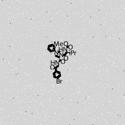 COC(=O)N[C@H](C(=O)N1CN(c2ccccc2)C[C@H]1C(=O)NCC(=O)c1ccc(Br)cc1)C(C)C